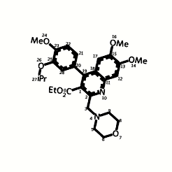 CCOC(=O)c1c(CN2CCOCC2)nc2cc(OC)c(OC)cc2c1-c1ccc(OC)c(OC(C)C)c1